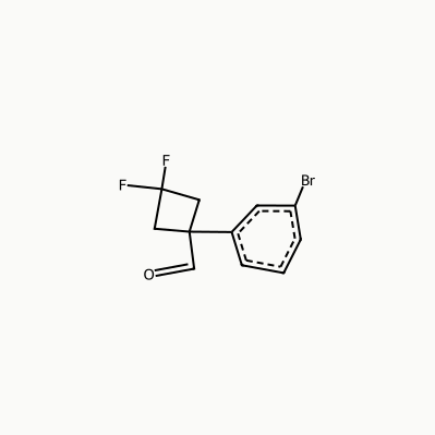 O=CC1(c2cccc(Br)c2)CC(F)(F)C1